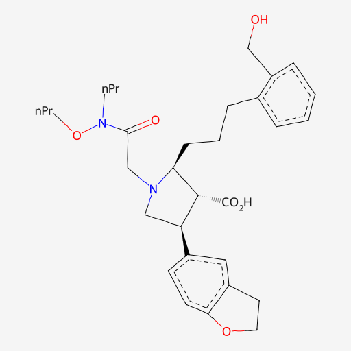 CCCON(CCC)C(=O)CN1C[C@H](c2ccc3c(c2)CCO3)[C@@H](C(=O)O)[C@@H]1CCCc1ccccc1CO